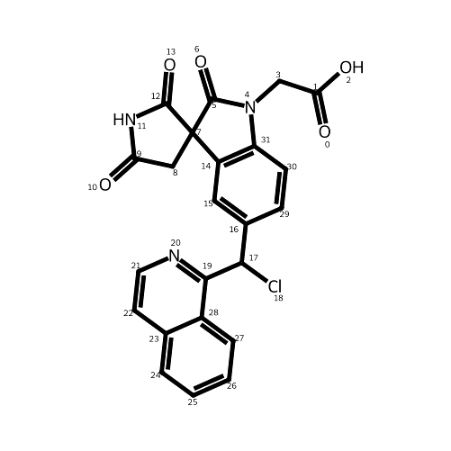 O=C(O)CN1C(=O)C2(CC(=O)NC2=O)c2cc(C(Cl)c3nccc4ccccc34)ccc21